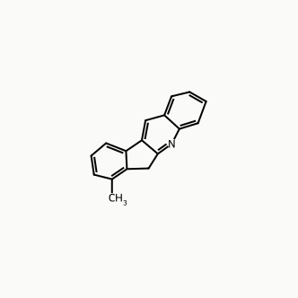 Cc1cccc2c1Cc1nc3ccccc3cc1-2